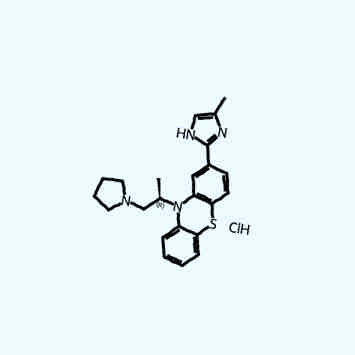 Cc1c[nH]c(-c2ccc3c(c2)N([C@H](C)CN2CCCC2)c2ccccc2S3)n1.Cl